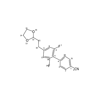 N#Cc1ccc(-c2c(F)cc(CCC3OCCO3)cc2F)cc1